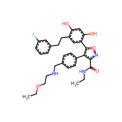 CCNC(=O)c1noc(-c2cc(CCc3cccc(F)c3)c(O)cc2O)c1-c1ccc(CNCCOCC)cc1